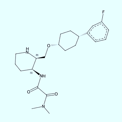 CN(C)C(=O)C(=O)N[C@H]1CCCN[C@H]1CO[C@H]1CC[C@@H](c2cccc(F)c2)CC1